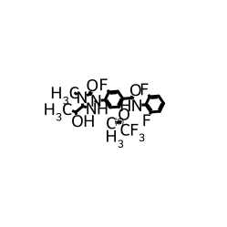 CC(O)C1NN(c2cc(O[C@@H](C)C(F)(F)F)c(C(=O)Nc3c(F)cccc3F)cc2F)C(=O)N1C